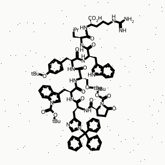 CC(C)C[C@H](NC(=O)[C@@H](Cc1c[nH]c2ccccc12)NC(=O)[C@H](Cc1ccc(OC(C)(C)C)cc1)NC(=O)[C@H](COC(C)(C)C)NC(=O)[C@H](Cc1cn(C(=O)OC(C)(C)C)c2ccccc12)NC(=O)[C@H](Cc1cn(C(c2ccccc2)(c2ccccc2)c2ccccc2)cn1)NC(=O)[C@@H]1CCC(=O)N1C(=O)OC(C)(C)C)C(=O)N[C@@H](CCCNC(=N)N)C(=O)O